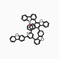 C1=CC2Oc3cc(-c4cc(-c5cccc6oc7c(c56)C=C(c5ccc(-c6cccc8c9ccccc9n(-c9ccccc9)c68)c6oc8ccccc8c56)CC7)cc(-c5ccccc5)n4)ccc3C2C=C1